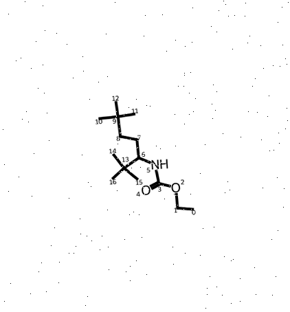 CCOC(=O)NC(CCC(C)(C)C)C(C)(C)C